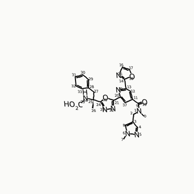 CN(Cc1cnn(C)c1)C(=O)c1cc(-c2ncco2)nc(-c2nnc([C@@](C)(Cc3ccccc3)NC(=O)O)o2)c1